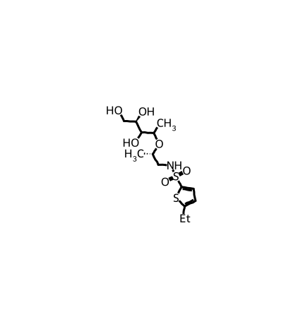 CCc1ccc(S(=O)(=O)NC[C@H](C)OC(C)C(O)[C@H](O)CO)s1